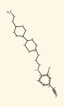 CCCC1CCC(C2CCC(CCCOc3ccc(C#N)cc3F)CC2)CC1